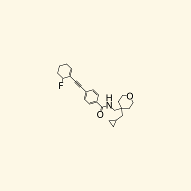 O=C(NCC1(CC2CC2)CCOCC1)c1ccc(C#CC2=CCCCC2F)cc1